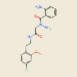 COc1cc(Cl)ccc1CCNC(=O)CN(N)C(=O)c1ccccc1N